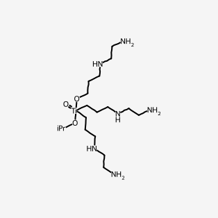 CC(C)[O][Ti](=[O])([CH2]CCNCCN)([CH2]CCNCCN)[O]CCCNCCN